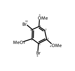 COc1cc(OC)c(Br)c(OC)c1Br